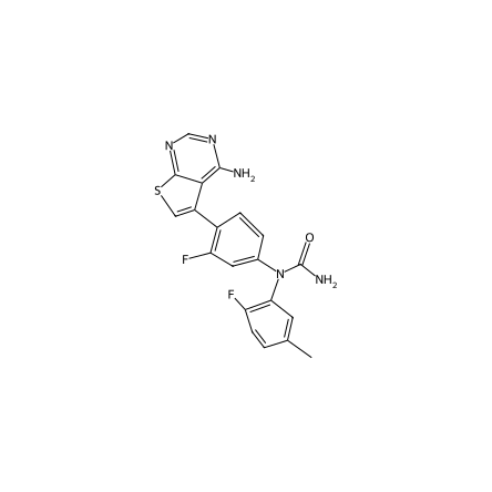 Cc1ccc(F)c(N(C(N)=O)c2ccc(-c3csc4ncnc(N)c34)c(F)c2)c1